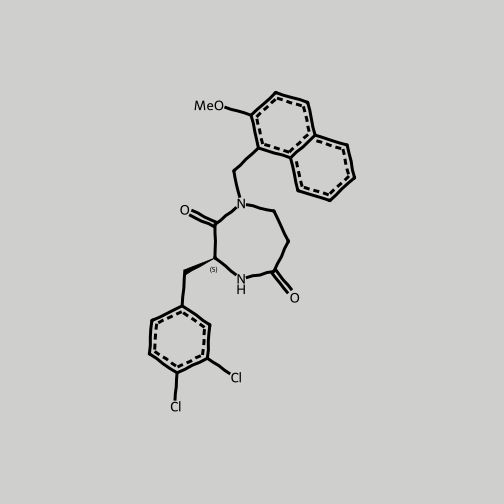 COc1ccc2ccccc2c1CN1CCC(=O)N[C@@H](Cc2ccc(Cl)c(Cl)c2)C1=O